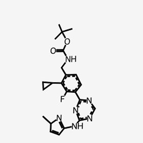 CC1C=CC(Nc2ncnc(-c3ccc(CNC(=O)OC(C)(C)C)c(C4CC4)c3F)n2)=N1